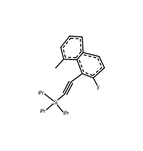 Cc1cccc2ccc(F)c(C#C[Si](C(C)C)(C(C)C)C(C)C)c12